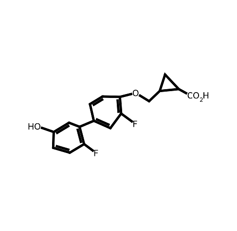 O=C(O)C1CC1COc1ccc(-c2cc(O)ccc2F)cc1F